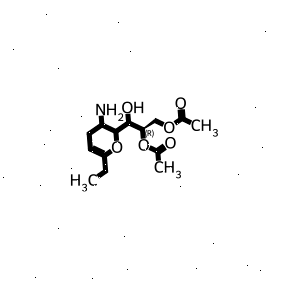 CCC1=CCC(N)C(C(O)[C@@H](COC(C)=O)OC(C)=O)O1